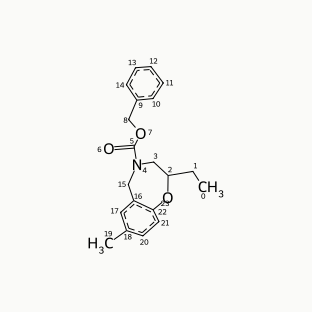 CCC1CN(C(=O)OCc2ccccc2)Cc2cc(C)ccc2O1